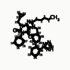 CCCCCc1nc2c(c(=O)n(-c3ccccc3)c(=O)n2CC2CC2)n1Cc1ccc(-c2ccccc2-c2nnn[nH]2)cc1